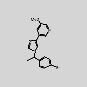 COc1cncc(-c2cn(C(C)c3ccc(Br)cc3)cn2)c1